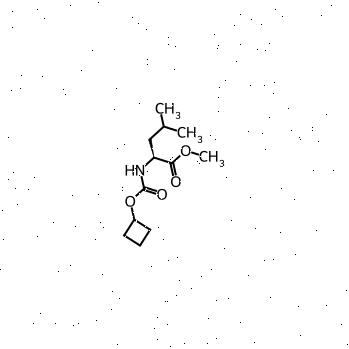 COC(=O)[C@H](CC(C)C)NC(=O)OC1CCC1